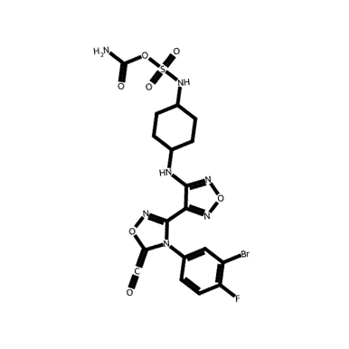 NC(=O)OS(=O)(=O)NC1CCC(Nc2nonc2C2=NOC(=C=O)N2c2ccc(F)c(Br)c2)CC1